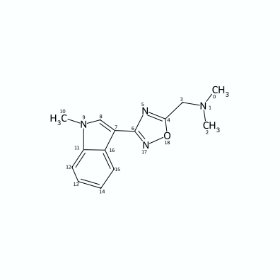 CN(C)Cc1nc(-c2cn(C)c3ccccc23)no1